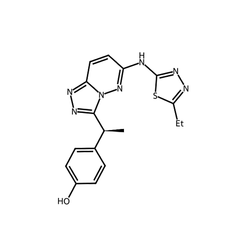 CCc1nnc(Nc2ccc3nnc([C@@H](C)c4ccc(O)cc4)n3n2)s1